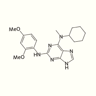 COc1ccc(Nc2nc(N(C)C3CCCCC3)c3nc[nH]c3n2)c(OC)c1